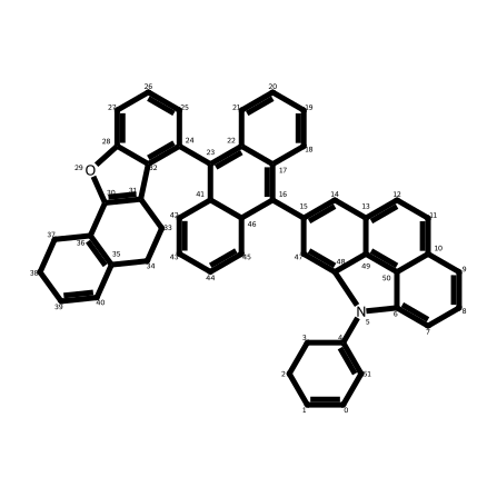 C1=CCCC(n2c3cccc4ccc5cc(C6=c7ccccc7=C(c7cccc8oc9c(c78)CCC7=C9CCC=C7)C7C=CC=CC67)cc2c5c43)=C1